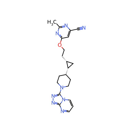 Cc1nc(C#N)cc(OCC[C@@H]2C[C@@H]2C2CCN(c3nnc4ncccn34)CC2)n1